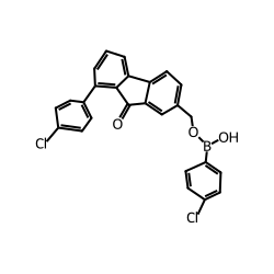 O=C1c2cc(COB(O)c3ccc(Cl)cc3)ccc2-c2cccc(-c3ccc(Cl)cc3)c21